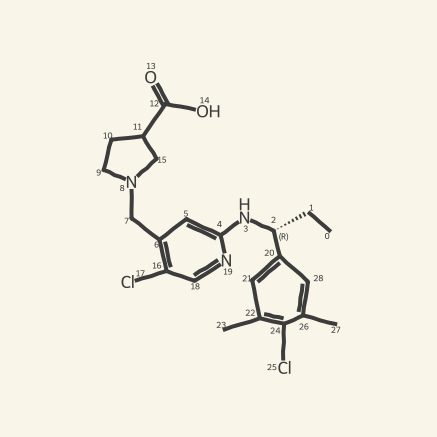 CC[C@@H](Nc1cc(CN2CCC(C(=O)O)C2)c(Cl)cn1)c1cc(C)c(Cl)c(C)c1